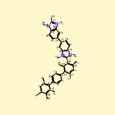 Cc1cc(C)c(-c2ccc(-c3c(C)cc(C)c(-c4n(C)c5ccc(-c6ccc7c(c6)[n+](C)c(C)n7C)cc5[n+]4C)c3C)cc2)c(C)c1C